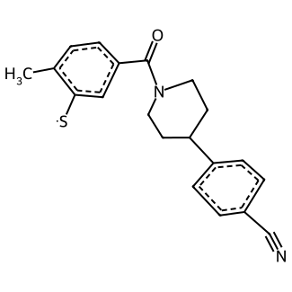 Cc1ccc(C(=O)N2CCC(c3ccc(C#N)cc3)CC2)cc1[S]